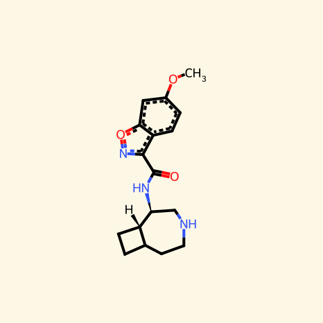 COc1ccc2c(C(=O)N[C@H]3CNCCC4CC[C@@H]43)noc2c1